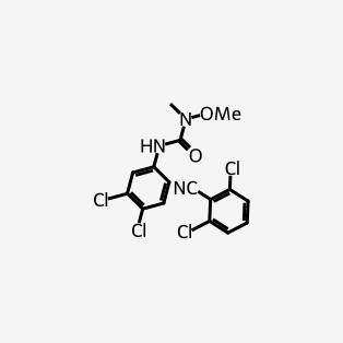 CON(C)C(=O)Nc1ccc(Cl)c(Cl)c1.N#Cc1c(Cl)cccc1Cl